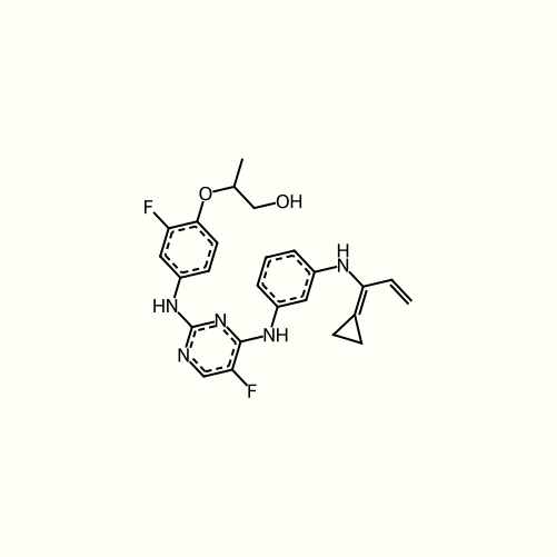 C=CC(Nc1cccc(Nc2nc(Nc3ccc(OC(C)CO)c(F)c3)ncc2F)c1)=C1CC1